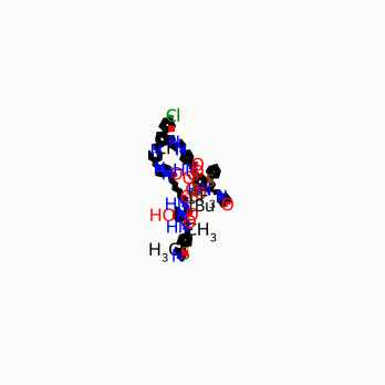 Cc1ncsc1-c1ccc([C@H](C)NC(=O)[C@@H]2C[C@@H](O)CN2C(=O)[C@@H](NC(=O)CCCCCC(=O)N2CCN(CC3CCN(CC4(C)CCC(c5ccc(Cl)cc5)=C(CN5CCN(c6ccc(C(=O)NS(=O)(=O)c7ccc(N[C@H](CCN8CCOCC8)CSc8ccccc8)c(S(=O)(=O)C(F)(F)F)c7)cc6)CC5)C4)CC3)CC2)C(C)(C)C)cc1